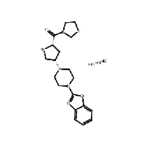 Cl.Cl.Cl.O=C([C@@H]1C[C@H](N2CCN(c3nc4ccccc4o3)CC2)CN1)N1CCSC1